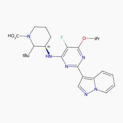 CC(C)Oc1nc(-c2cnn3ccccc23)nc(N[C@@H]2CCCN(C(=O)O)C2C(C)(C)C)c1F